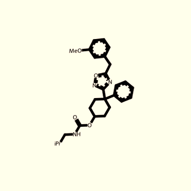 COc1cccc(Cc2nc(C3(c4ccccc4)CCC(OC(=O)NCC(C)C)CC3)no2)c1